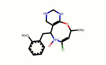 COc1ccccc1CC1C2=C(NCNC2)OC(SC)/C=C(/Cl)[NH+]1[O-]